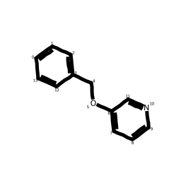 c1ccc(COc2cccnc2)cc1